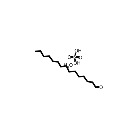 CCCCCCCCCCCCCCC=O.O.O=S(=O)(O)O